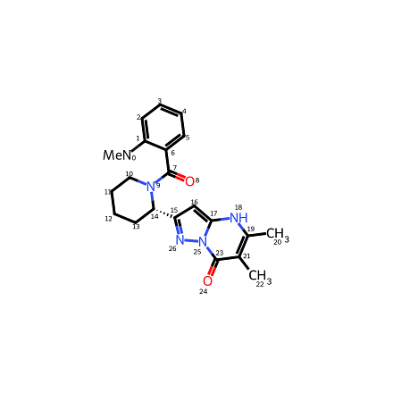 CNc1ccccc1C(=O)N1CCCC[C@H]1c1cc2[nH]c(C)c(C)c(=O)n2n1